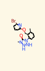 Cc1cccc(N2NNN(C)C2=O)c1COc1cccc(Br)n1